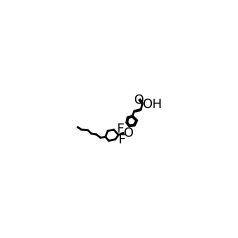 CCCCCCC1CCC(C(F)(F)Oc2ccc(C=CC(=O)O)cc2)CC1